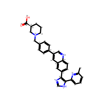 Cc1cccc(-c2[nH]cnc2-c2ccc3ncc(-c4ccc(CN5CCC[C@H](C(=O)O)C5)cc4)cc3c2)n1